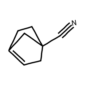 N#CC12CC=C(CC1)C2